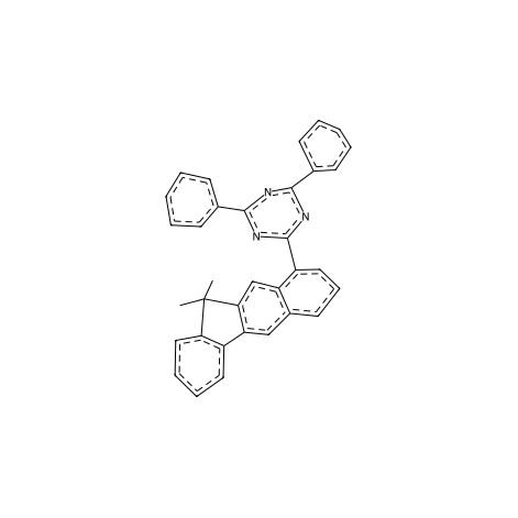 CC1(C)c2ccccc2-c2cc3cccc(-c4nc(-c5ccccc5)nc(-c5ccccc5)n4)c3cc21